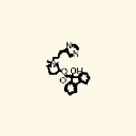 C[N+]1(CCCc2cnccn2)CCCC(OC(=O)C2(O)c3ccccc3-c3ccccc32)C1